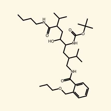 CCCCNC(=O)C(CC(O)C(CC(CNC(=O)c1ccccc1COCCC)C(C)C)NC(=O)OC(C)(C)C)C(C)C